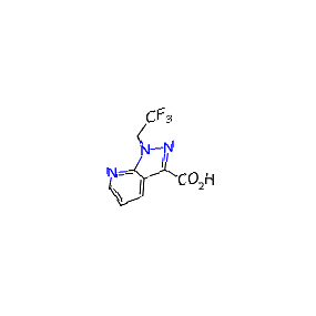 O=C(O)c1nn(CC(F)(F)F)c2ncccc12